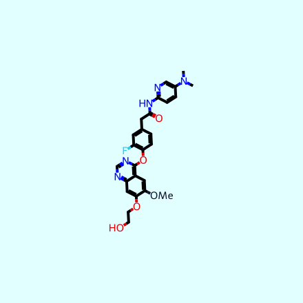 COc1cc2c(Oc3ccc(CC(=O)Nc4ccc(N(C)C)cn4)cc3F)ncnc2cc1OCCO